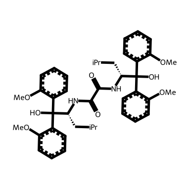 COc1ccccc1C(O)(c1ccccc1OC)[C@@H](CC(C)C)NC(=O)C(=O)N[C@H](CC(C)C)C(O)(c1ccccc1OC)c1ccccc1OC